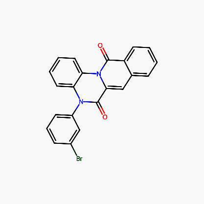 O=c1c2cc3ccccc3c(=O)n2c2ccccc2n1-c1cccc(Br)c1